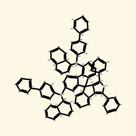 c1ccc(-c2ccc(N(c3ccc4c(c3)C3(c5ccccc5-c5c(-c6ccccc6)sc(-c6ccccc6)c53)c3cccc(N(c5ccc(-c6ccccc6)cc5)c5cccc6ccccc56)c3-4)c3cccc4ccccc34)cc2)cc1